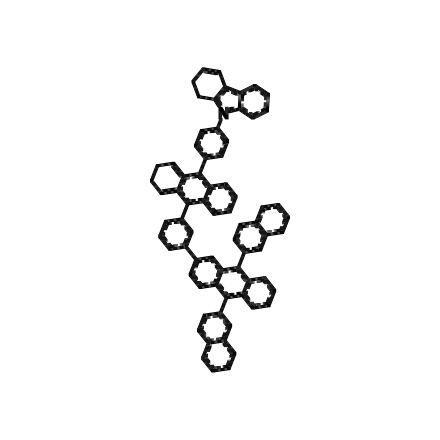 C1=Cc2c(n(-c3ccc(-c4c5c(c(-c6cccc(-c7ccc8c(-c9ccc%10ccccc%10c9)c9ccccc9c(-c9ccc%10ccccc%10c9)c8c7)c6)c6ccccc46)=CCCC=5)cc3)c3ccccc23)CC1